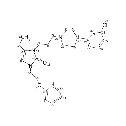 CCc1nn(CCOc2ccccc2)c(=O)n1CCCN1CCN(c2cccc(Cl)c2)CC1